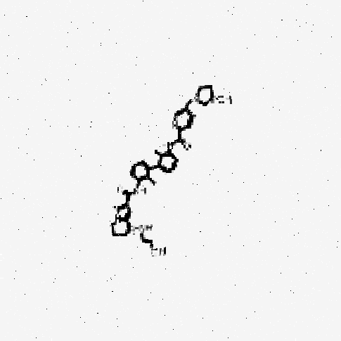 Cc1c(NC(=O)c2ccc(CN3CC[C@@H](O)C3)cn2)cccc1-c1cccc(NC(=O)c2cc3n(n2)CCC[C@H]3NCCO)c1C